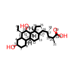 CC[C@@H]1C2C[C@H](O)CC[C@]2(C)[C@H]2CC[C@]3(C)[C@@H]([C@H](C)C[C@H](C)C(=O)O)CC[C@H]3[C@@H]2[C@@H]1O